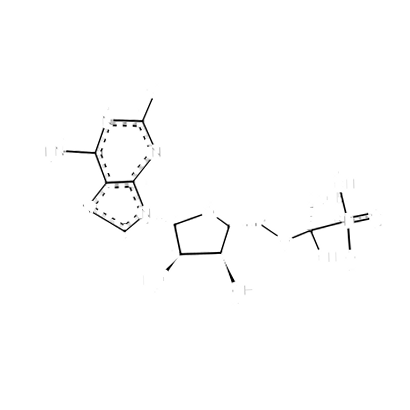 CCOC(=O)[C@](C)(OC[C@H]1O[C@@H](n2cnc3c(N)nc(Cl)nc32)[C@H](O)[C@@H]1O)P(=O)(O)O